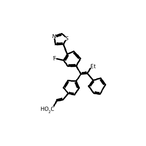 CC/C(=C(/c1ccc(/C=C/C(=O)O)cc1)c1ccc(-c2cncs2)c(F)c1)c1ccccc1